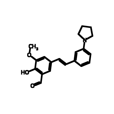 COc1cc(C=Cc2cccc(N3CCCC3)c2)cc(C=O)c1O